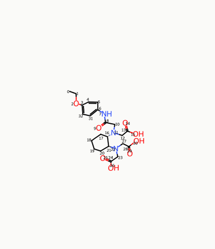 CCOc1ccc(NC(=O)CN(CC(=O)O)[C@H]2CCCC[C@@H]2N(CC(=O)O)CC(=O)O)cc1